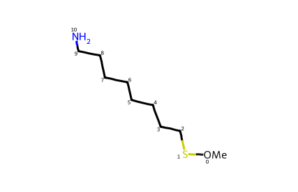 COSCCCCCCCCN